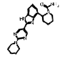 NC(=O)N1CCCCC1c1cccc2[nH]c(-c3cnc(N4CCCCC4)nc3)nc12